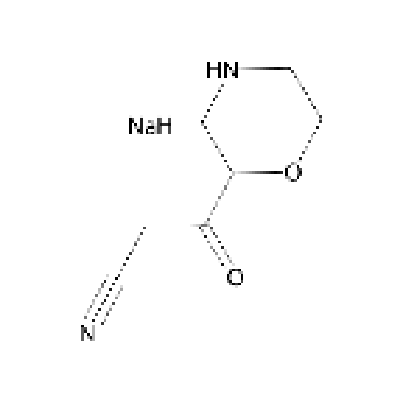 N#CCC(=O)C1CNCCO1.[NaH]